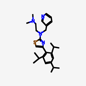 CC(C)c1cc(C(C)C)c(-c2csc(N(CCN(C)C)Cc3cccnc3)n2)c(C(C)C)c1